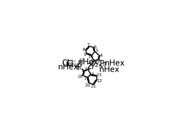 CCCCCCP(CCCCCC)C1=Cc2ccccc2[CH]1[Zr+2][CH]1C(P(CCCCCC)CCCCCC)=Cc2ccccc21.[Cl-].[Cl-]